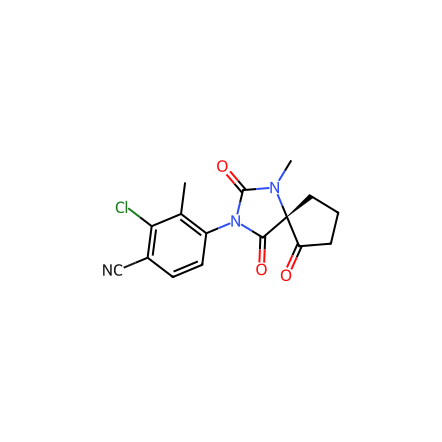 Cc1c(N2C(=O)N(C)[C@@]3(CCCC3=O)C2=O)ccc(C#N)c1Cl